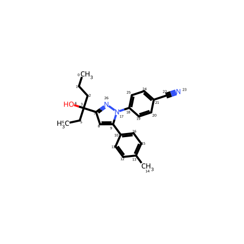 CCCC(O)(CC)c1cc(-c2ccc(C)cc2)n(-c2ccc(C#N)cc2)n1